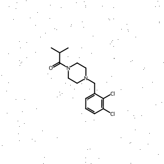 CC(C)C(=O)N1CCN(Cc2cccc(Cl)c2Cl)CC1